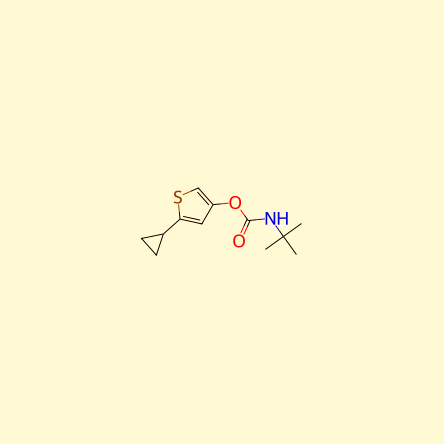 CC(C)(C)NC(=O)Oc1csc(C2CC2)c1